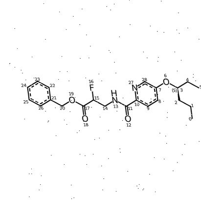 CCC[C@H](CC)Oc1ccc(C(=O)NCC(F)C(=O)OCc2ccccc2)nc1